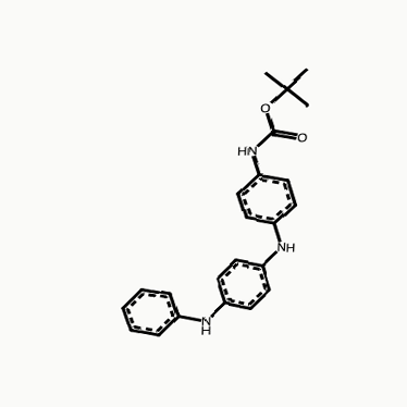 CC(C)(C)OC(=O)Nc1ccc(Nc2ccc(Nc3ccccc3)cc2)cc1